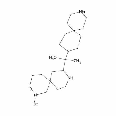 CC(C)N1CCCC2(CCNC(C(C)(C)N3CCC4(CCNCC4)CC3)C2)C1